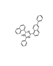 c1ccc(C2=NC(c3cccc4cc(-c5ccccc5)ccc34)=NC(c3cccc4ccccc34)N2)cc1